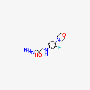 [N-]=[N+]=NC[C@@H](O)CNc1ccc(N2CCOCC2)c(F)c1